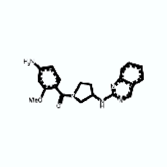 COc1cc(N)ccc1C(=O)N1CCC(Nc2ncc3ccccc3n2)C1